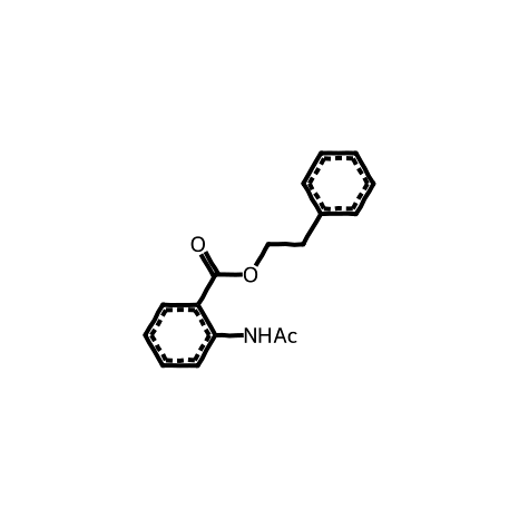 CC(=O)Nc1ccccc1C(=O)OCCc1ccccc1